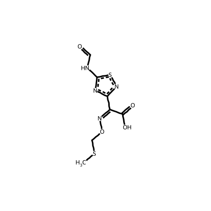 CSCO/N=C(\C(=O)O)c1nsc(NC=O)n1